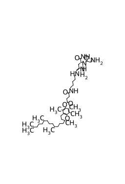 Cc1c(C)c2c(c(C)c1OC(=O)CCC(=O)NCCCCCN/C=C(\N)C[C@H](NC(=O)CN)C(N)=O)CC[C@@](C)(CCC[C@H](C)CCC[C@H](C)CCCC(C)C)O2